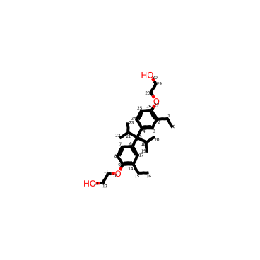 CCc1cc(C(c2ccc(OCCO)c(CC)c2)(C(C)C)C(C)C)ccc1OCCO